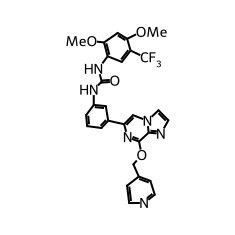 COc1cc(OC)c(C(F)(F)F)cc1NC(=O)Nc1cccc(-c2cn3ccnc3c(OCc3ccncc3)n2)c1